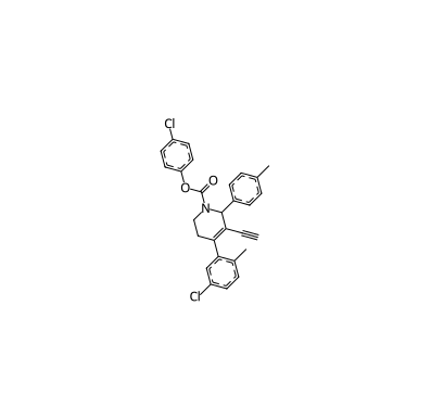 C#CC1=C(c2cc(Cl)ccc2C)CCN(C(=O)Oc2ccc(Cl)cc2)C1c1ccc(C)cc1